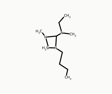 CCCCN1[SiH2]N(C)C1N(C)CC